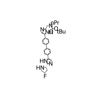 CCCN(Cc1ncc(-c2ccc(-c3ccc(-c4cnc([C@@H]5C[C@H](F)CN5)[nH]4)cc3)cc2)[nH]1)C(=O)OC(C)(C)C